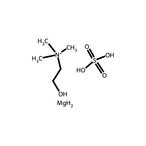 C[N+](C)(C)CCO.O=S(=O)(O)O.[MgH2]